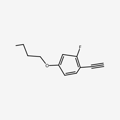 C#Cc1ccc(OCCCC)cc1F